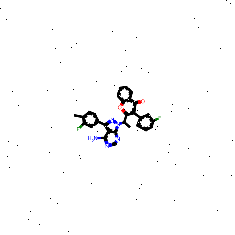 Cc1ccc(-c2nn(C(C)c3oc4ccccc4c(=O)c3-c3cccc(F)c3)c3ncnc(N)c23)cc1F